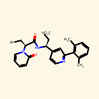 Cc1cccc(C)c1-c1cc([C@H](CC(=O)O)NC(=O)[C@H](CC(C)C)n2ccccc2=O)ccn1